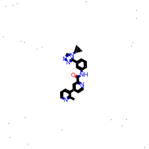 Cc1ncccc1-c1ccnc(C(=O)Nc2cccc(-c3nncn3C3CC3)c2)c1